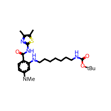 CNc1ccc(C(=O)Nc2nc(C)c(C)s2)c(NCCCCCCCNC(=O)OC(C)(C)C)c1